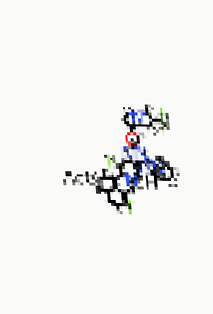 C#Cc1c(F)ccc2cc(OC(C)=O)cc(-c3ncc4c(N5CC6CCC(C5)N6)nc(OC[C@]56CCCN5CC(=C(F)F)C6)nc4c3F)c12